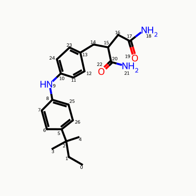 CCC(C)(C)c1ccc(Nc2ccc(CC(CC(N)=O)C(N)=O)cc2)cc1